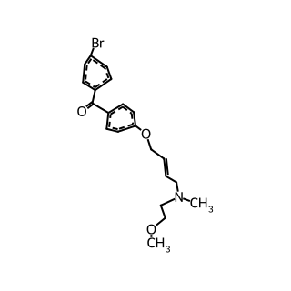 COCCN(C)CC=CCOc1ccc(C(=O)c2ccc(Br)cc2)cc1